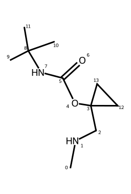 CNCC1(OC(=O)NC(C)(C)C)CC1